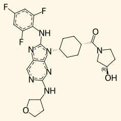 O=C([C@H]1CC[C@@H](n2c(Nc3c(F)cc(F)cc3F)nc3cnc(NC4CCOC4)nc32)CC1)N1CC[C@@H](O)C1